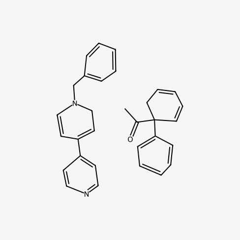 C1=CN(Cc2ccccc2)CC=C1c1ccncc1.CC(=O)C1(c2ccccc2)C=CC=CC1